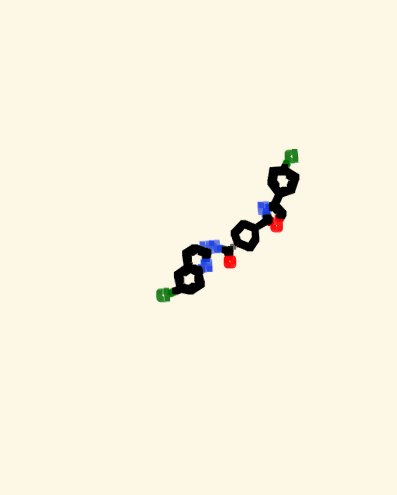 O=C(Nc1ccc2cc(Cl)ccc2n1)[C@H]1CC[C@H](c2nc(-c3ccc(Cl)cc3)co2)CC1